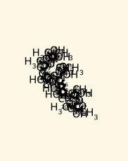 CO[C@@H]([C@@H]1Cc2cc3cc(O[C@H]4CC(O[C@H]5C[C@@H](OC(C)=O)[C@H](O)C(C)O5)[C@H](O)C(C)O4)c(C)c(O)c3c(O)c2C(=O)[C@H]1O[C@H]1C[C@@H](O[C@H]2C[C@@H](O[C@H]3C[C@](C)(O)[C@H](O)C(C)O3)[C@@H](O)C(C)O2)[C@H](O)C(C)O1)[C@@H](O)C(C)=O